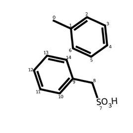 Cc1ccccc1.O=S(=O)(O)Cc1ccccc1